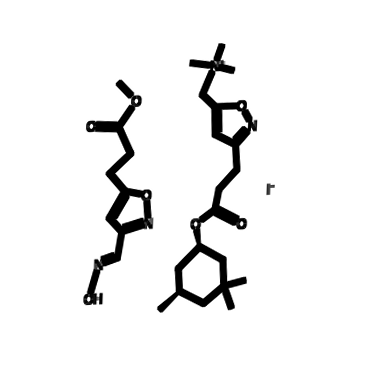 COC(=O)CCc1cc(C=NO)no1.C[C@H]1C[C@@H](OC(=O)CCc2cc(C[N+](C)(C)C)on2)CC(C)(C)C1.[I-]